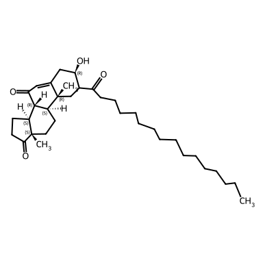 CCCCCCCCCCCCCCCC(=O)C1C[C@@]2(C)C(=CC(=O)[C@@H]3[C@@H]2CC[C@]2(C)C(=O)CC[C@@H]32)C[C@H]1O